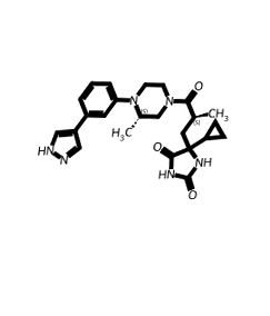 C[C@@H](CC1(C2CC2)NC(=O)NC1=O)C(=O)N1CCN(c2cccc(-c3cn[nH]c3)c2)[C@@H](C)C1